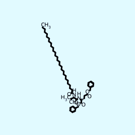 CCCCCCCCCCCCCCCCCCCCCCCCCCCCCC(=O)N[C@H](C(=O)N[C@@H](CCC(=O)OCc1ccccc1)C(=O)OCc1ccccc1)C(C)C